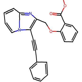 COC(=O)c1ccccc1OCc1nc2ccccn2c1C#Cc1ccccc1